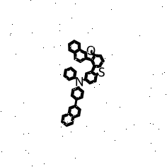 c1ccc(N(c2ccc(-c3ccc4ccccc4c3)cc2)c2ccc3sc4ccc5oc6c7ccccc7ccc6c5c4c3c2)cc1